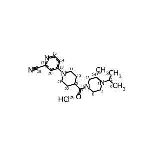 CC(C)N1CCN(C(=O)C2CCN(c3ccnc(C#N)c3)CC2)C[C@@H]1C.Cl